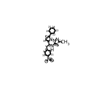 Cc1nnc(NC(Cc2ccc([N+](=O)[O-])cc2)c2csc(-c3ccccc3)n2)s1